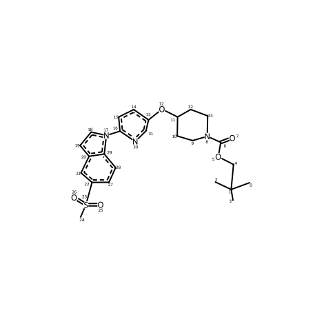 CC(C)(C)COC(=O)N1CCC(Oc2ccc(-n3ccc4cc(S(C)(=O)=O)ccc43)nc2)CC1